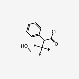 CO.O=C(Cl)C(c1ccccc1)C(F)(F)F